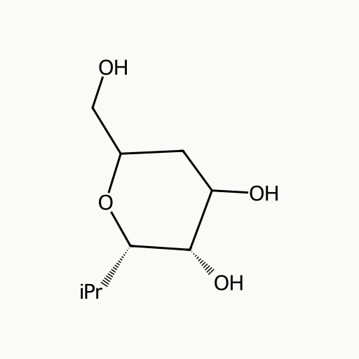 CC(C)[C@@H]1OC(CO)CC(O)[C@@H]1O